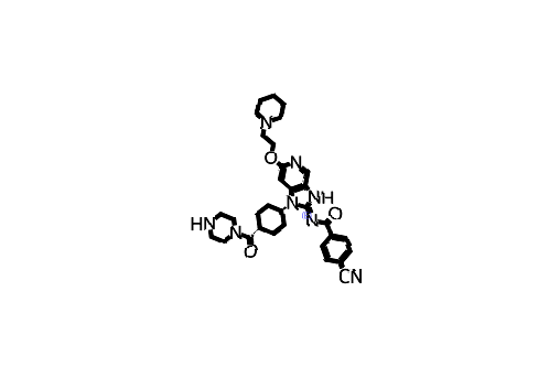 N#Cc1ccc(C(=O)/N=c2\[nH]c3cnc(OCCN4CCCCC4)cc3n2[C@H]2CC[C@@H](C(=O)N3CCNCC3)CC2)cc1